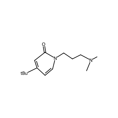 CN(C)CCCn1ccc(C(C)(C)C)cc1=O